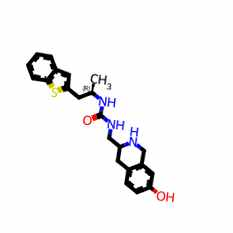 C[C@H](Cc1cc2ccccc2s1)NC(=O)NCC1Cc2ccc(O)cc2CN1